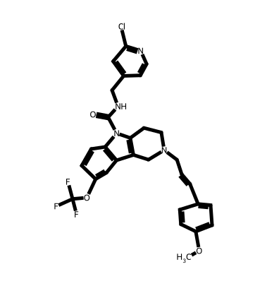 COc1ccc(C=CCN2CCc3c(c4cc(OC(F)(F)F)ccc4n3C(=O)NCc3ccnc(Cl)c3)C2)cc1